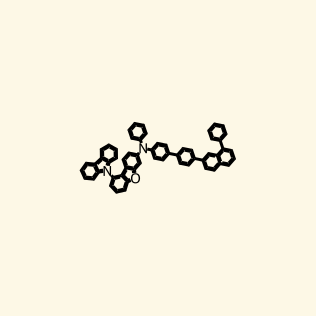 c1ccc(-c2cccc3ccc(-c4ccc(-c5ccc(N(c6ccccc6)c6ccc7c(c6)oc6cccc(-n8c9ccccc9c9ccccc98)c67)cc5)cc4)cc23)cc1